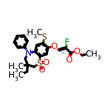 CCOC(=O)/C(F)=C/Oc1cc2c(cc1SC)N(c1ccccc1)CC(C)(CC)CS2(=O)=O